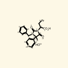 CC(C)CC(C(=O)O)N1C(=O)N(Cc2ccccc2)C(C)(c2ccncc2)C1=O.Cl